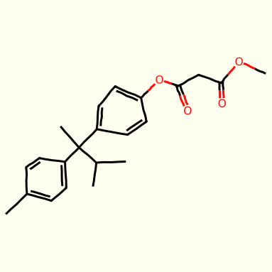 COC(=O)CC(=O)Oc1ccc(C(C)(c2ccc(C)cc2)C(C)C)cc1